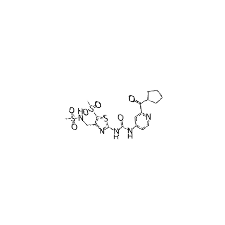 CS(=O)(=O)NCc1nc(NC(=O)Nc2ccnc(C(=O)C3CCCC3)c2)sc1S(C)(=O)=O